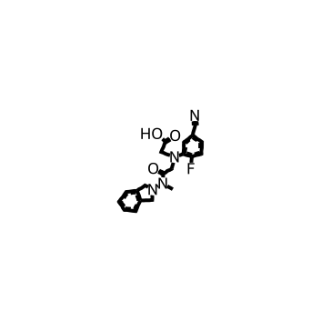 CN(C(=O)CN(CC(=O)O)c1cc(C#N)ccc1F)N1Cc2ccccc2C1